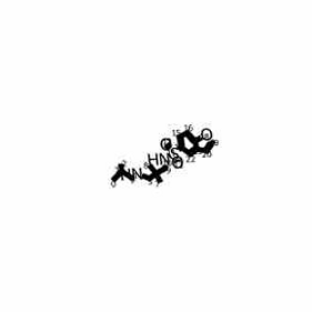 CC(C)CNCC(C)(C)CNS(=O)(=O)c1ccc2occc2c1